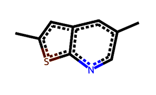 Cc1cnc2sc(C)cc2c1